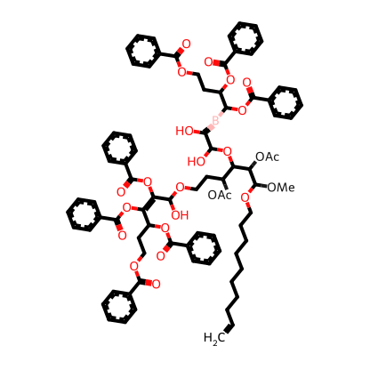 C=CCCCCCCCCOC(OC)C(OC(C)=O)C(OC(O)/C(O)=B/C(OC(=O)c1ccccc1)C(CCOC(=O)c1ccccc1)OC(=O)c1ccccc1)C(CCOC(O)/C(OC(=O)c1ccccc1)=C(/OC(=O)c1ccccc1)C(CCOC(=O)c1ccccc1)OC(=O)c1ccccc1)OC(C)=O